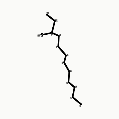 CCCCCCCCCC([S])CC